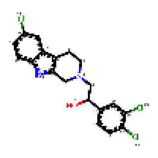 OC(CN1CCc2c([nH]c3ccc(Cl)cc23)C1)c1ccc(Cl)c(Cl)c1